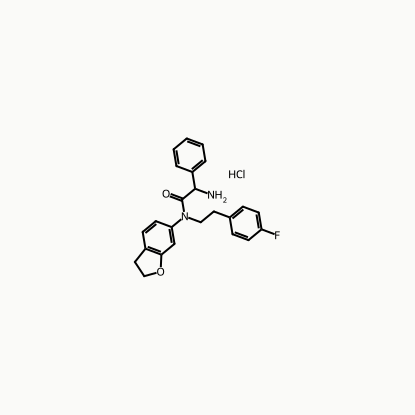 Cl.NC(C(=O)N(CCc1ccc(F)cc1)c1ccc2c(c1)OCC2)c1ccccc1